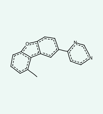 Cc1cccc2oc3ccc(-c4ccncn4)cc3c12